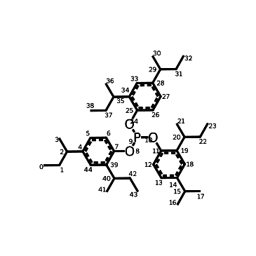 CCC(C)c1ccc(OP(Oc2ccc(C(C)C)cc2C(C)CC)Oc2ccc(C(C)CC)cc2C(C)CC)c(C(C)CC)c1